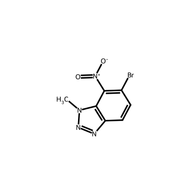 Cn1nnc2ccc(Br)c([N+](=O)[O-])c21